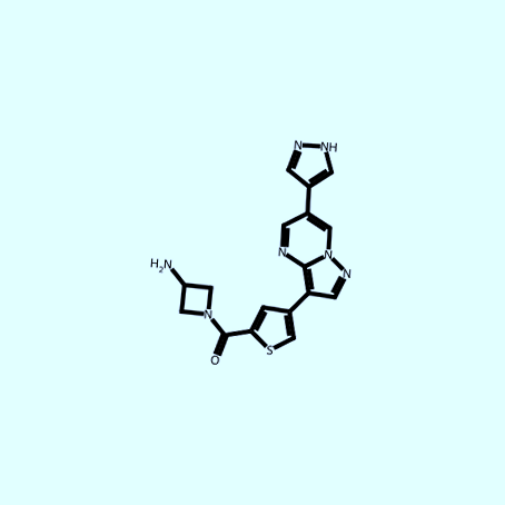 NC1CN(C(=O)c2cc(-c3cnn4cc(-c5cn[nH]c5)cnc34)cs2)C1